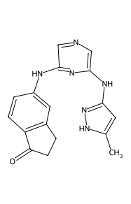 Cc1cc(Nc2cncc(Nc3ccc4c(c3)CCC4=O)n2)n[nH]1